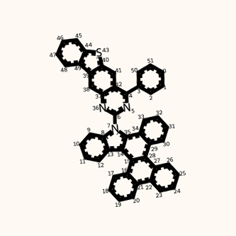 c1ccc(-c2nc(-n3c4ccccc4c4c5c6ccccc6c6ccccc6c5c5ccccc5c43)nc3cc4c(cc23)sc2ccccc24)cc1